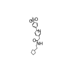 CS(=O)(=O)c1ccc(-c2ccc(CC(=O)NCCC3CCCC3)cn2)cc1